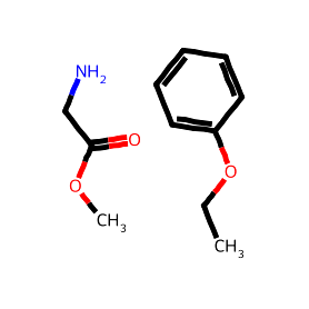 CCOc1ccccc1.COC(=O)CN